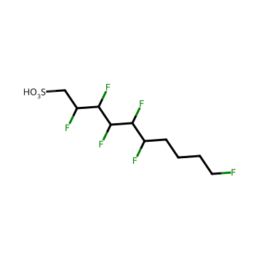 O=S(=O)(O)CC(F)C(F)C(F)C(F)C(F)CCCCF